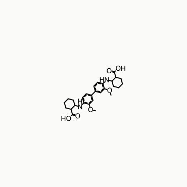 COc1cc(-c2ccc(NC3CCCCC3C(=O)O)c(OC)c2)ccc1NC1CCCCC1C(=O)O